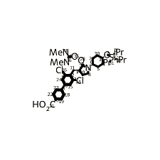 CC(C)[Si](O[C@H]1CC[C@H](N2CC[C@@H](Cc3c(Cl)cc(-c4ccc(C(=O)O)cc4)cc3Cl)C2=O)CC1)(C(C)C)C(C)C.CNC(=O)NC